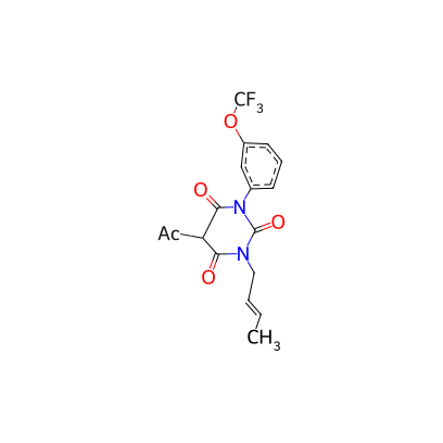 CC=CCN1C(=O)C(C(C)=O)C(=O)N(c2cccc(OC(F)(F)F)c2)C1=O